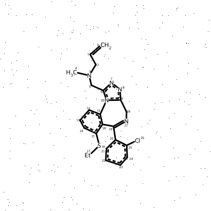 C=CCN(C)Cc1nnc2n1-c1cccc(SCC)c1C(c1ccccc1Cl)=NC2